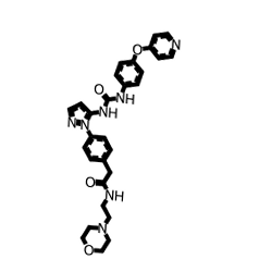 O=C(Cc1ccc(-n2nccc2NC(=O)Nc2ccc(Oc3ccncc3)cc2)cc1)NCCN1CCOCC1